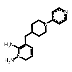 NC1=C(CC2CCN(c3ccncc3)CC2)C=CCN1N